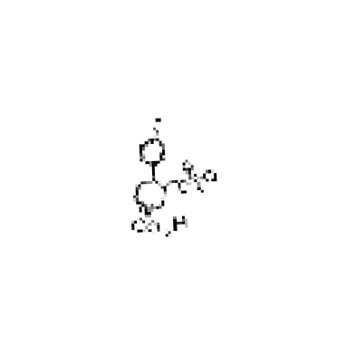 CS(=O)(=O)OCC1CN(C(=O)O)CCC1c1ccc(F)cc1